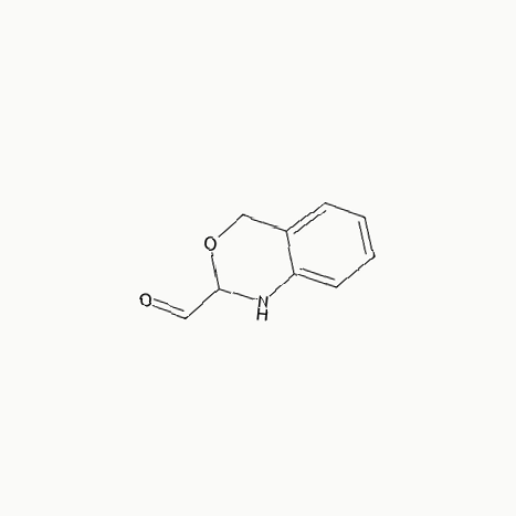 O=CC1Nc2ccccc2CO1